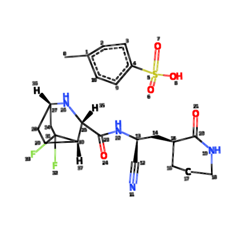 Cc1ccc(S(=O)(=O)O)cc1.N#C[C@H](C[C@@H]1CCCNC1=O)NC(=O)[C@H]1N[C@H]2CC[C@@H]1C(F)(F)C2